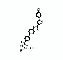 CC(C)[C@H](NS(=O)(=O)c1ccc(-c2ccc(NC(=O)c3cc(-c4ccc(Cl)cc4)no3)cc2)cc1)C(=O)O